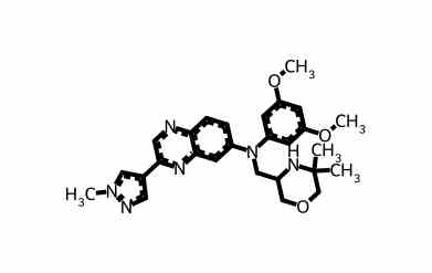 COc1cc(OC)cc(N(CC2COCC(C)(C)N2)c2ccc3ncc(-c4cnn(C)c4)nc3c2)c1